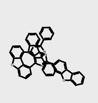 c1ccc(-c2nc(-c3ccccc3)nc(-c3cccc4oc5cccc(-c6nc(-c7ccc8c(c7)oc7ccccc78)nc7c6sc6ccccc67)c5c34)n2)cc1